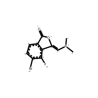 CN(C)/C=C1\OC(=O)c2ccc(Br)c(F)c21